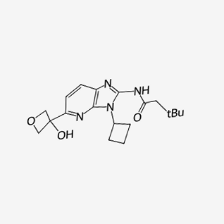 CC(C)(C)CC(=O)Nc1nc2ccc(C3(O)COC3)nc2n1C1CCC1